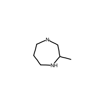 CC1C[N]CCCN1